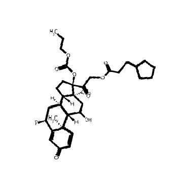 CCCOC(=O)O[C@]1(C(=O)COC(=O)CCC2CCCC2)CC[C@H]2[C@@H]3C[C@H](F)C4=CC(=O)C=C[C@]4(C)[C@H]3C(O)C[C@@]21C